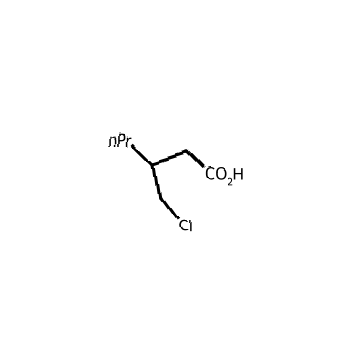 CCCC(CCl)CC(=O)O